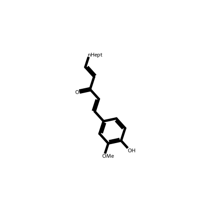 CCCCCCCC=CC(=O)C=Cc1ccc(O)c(OC)c1